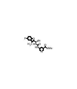 CNC(=O)c1cncc(NC(=O)N[C@@H](c2oc3ccc(F)cc3c2C)C(C)C)c1